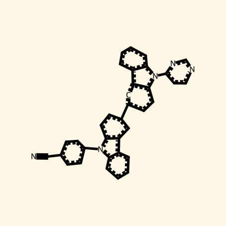 N#Cc1ccc(-n2c3ccccc3c3cc(-c4ccc5c(c4)c4ccccc4n5-c4ccncn4)ccc32)cc1